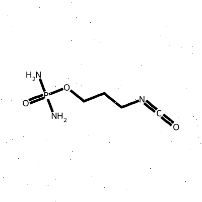 NP(N)(=O)OCCCN=C=O